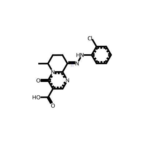 CC1CC/C(=N\Nc2ccccc2Cl)c2ncc(C(=O)O)c(=O)n21